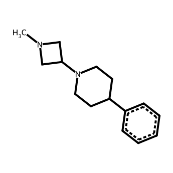 CN1CC(N2CCC(c3ccccc3)CC2)C1